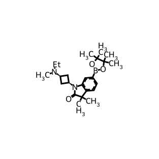 CCN(C)[C@H]1C[C@@H](N2C(=O)C(C)(C)c3ccc(B4OC(C)(C)C(C)(C)O4)cc32)C1